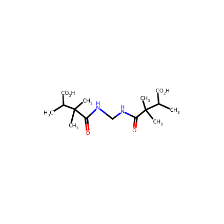 CC(C(=O)O)C(C)(C)C(=O)NCNC(=O)C(C)(C)C(C)C(=O)O